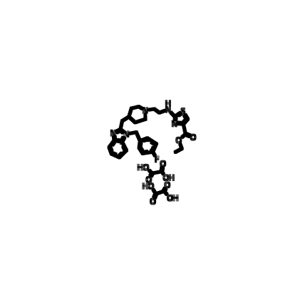 CCOC(=O)c1csc(NCCN2CCC(Cc3nc4ccccc4n3Cc3ccc(F)cc3)CC2)n1.O=C(O)C(=O)O.O=C(O)C(=O)O